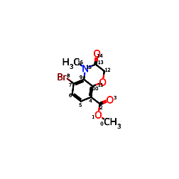 COC(=O)c1ccc(Br)c2c1OCC(=O)N2C